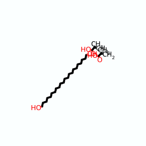 C=C(C)C(=O)O.C=C(C)C(=O)O.OCCCCCCCCCCCCCCCCCCCCCCO